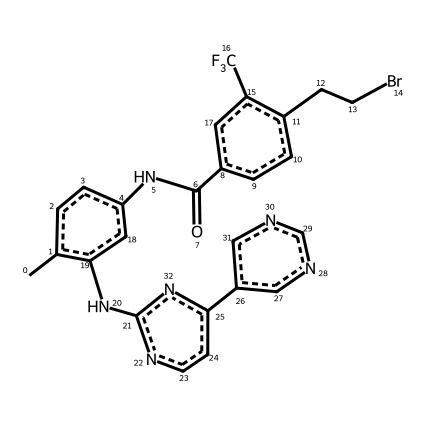 Cc1ccc(NC(=O)c2ccc(CCBr)c(C(F)(F)F)c2)cc1Nc1nccc(-c2cncnc2)n1